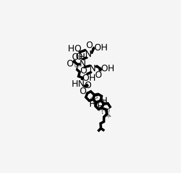 CC(C)CCC[C@@H](C)[C@H]1CC[C@H]2[C@@H]3CC=C4CC(OC(=O)NCCCC[C@@H](C(=O)O)N(CCN(CC(=O)O)CC(=O)O)CCN(CC(=O)O)CC(=O)O)CC[C@]4(C)[C@H]3CC[C@]12C